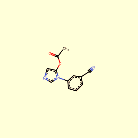 CC(=O)Oc1cncn1-c1cccc(C#N)c1